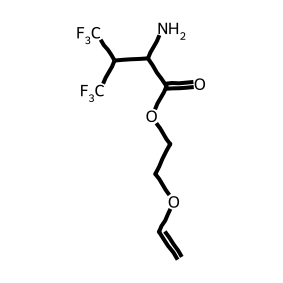 C=COCCOC(=O)C(N)C(C(F)(F)F)C(F)(F)F